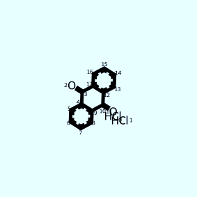 Cl.Cl.O=C1c2ccccc2C(=O)c2ccccc21